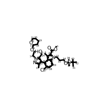 COC(=O)c1c(C)c2c(-c3c(C)nn(CCOC4CCCCO4)c3CO)c(Cl)ccc2n1CCCO[Si](C)(C)C(C)(C)C